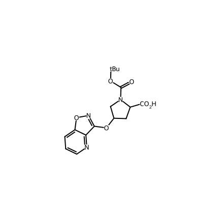 CC(C)(C)OC(=O)N1CC(Oc2noc3cccnc23)CC1C(=O)O